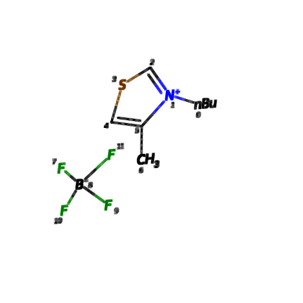 CCCC[n+]1cscc1C.F[B-](F)(F)F